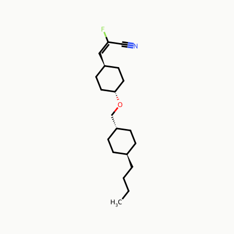 CCCC[C@H]1CC[C@H](CO[C@H]2CC[C@H](/C=C(/F)C#N)CC2)CC1